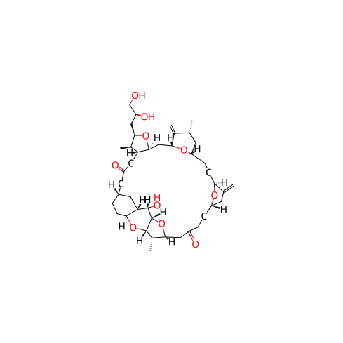 C=C1C[C@@H]2CCC(=O)C[C@H]3O[C@H]4[C@@H](O)[C@H]5C[C@H](CC[C@@H]5O[C@H]4[C@H]3C)CC(=O)C[C@@H]3[C@@H](C)[C@@H](C[C@H](O)CO)O[C@H]3C[C@H]3O[C@@H](CC[C@@H]1O2)C[C@@H](C)C3=C